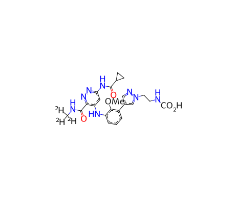 [2H]C([2H])([2H])NC(=O)c1nnc(NC(=O)C2CC2)cc1Nc1cccc(-c2cnn(CCNC(=O)O)c2)c1OC